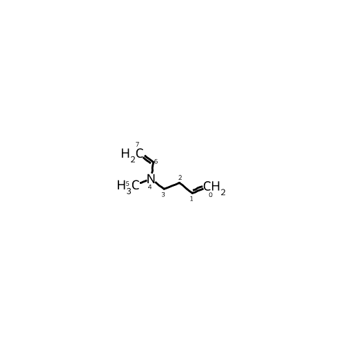 C=CCCN(C)C=C